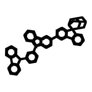 c1cc(C2c3ccccc3-c3ccccc32)cc(-n2c3ccccc3c3cc(-c4ccc5c(c4)-c4ccccc4C54C5CC6CC(C5)CC4C6)ccc32)c1